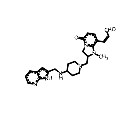 CN1c2c(/C=C\C=O)ccc(=O)n2CC1CN1CCC(NCc2cc3cccnc3[nH]2)CC1